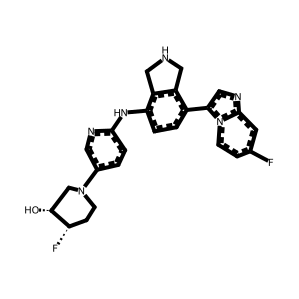 O[C@@H]1CN(c2ccc(Nc3ccc(-c4cnc5cc(F)ccn45)c4c3CNC4)nc2)CC[C@@H]1F